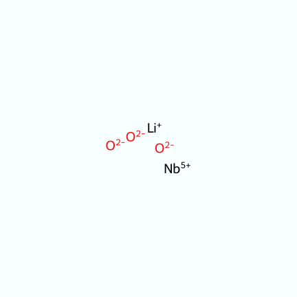 [Li+].[Nb+5].[O-2].[O-2].[O-2]